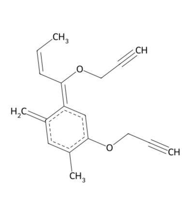 C#CCOC(/C=C\C)=c1\cc(OCC#C)c(C)cc1=C